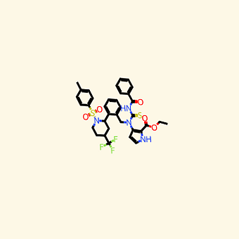 CCOC(=O)c1[nH]ccc1N(Cc1ccccc1C1CC(C(F)(F)F)CCN1S(=O)(=O)c1ccc(C)cc1)C(=S)NC(=O)c1ccccc1